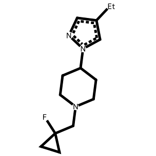 CCc1cnn(C2CCN(CC3(F)CC3)CC2)c1